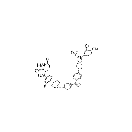 C[C@H]1CC2(CCN(c3ccc(C(=O)N4CCC(CN5CCC(c6ccc(NC7CCC(=O)NC7=O)cc6F)CC5)CC4)cc3)CC2)CN1c1ccc(C#N)c(Cl)c1